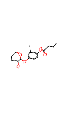 CCCC(=O)Oc1ccc(OC2OCCCC2=O)cc1C